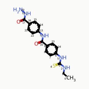 CCNC(=S)Nc1ccc(C(=O)Nc2c[c]c(C(=O)NN)cc2)cc1